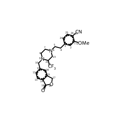 COc1cc(CCN2CCN(Cc3ccc4c(c3)COC4=O)C(C(F)(F)F)C2)ccc1C#N